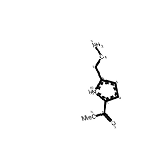 COC(=O)c1ccc(CON)[nH]1